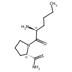 CCCC[C@H](N)C(=O)N1CCC[C@H]1C(N)=S